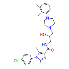 Cc1cccc(N2CCN(CC(O)CNC(=O)c3nc(C)n(-c4ccc(Cl)cc4)c3C)CC2)c1C